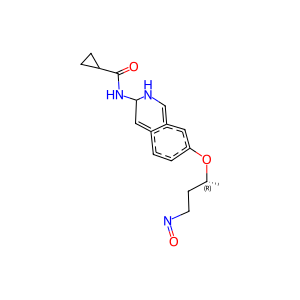 C[C@H](CCN=O)Oc1ccc2c(c1)=CNC(NC(=O)C1CC1)C=2